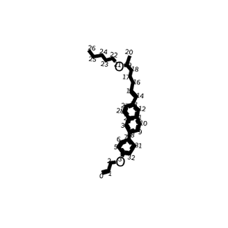 C=CCOc1ccc(-c2ccc3cc(/C=C/CCCC(C)OCCCCC)ccc3c2)cc1